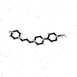 NN1CCC(N2CCN(CCCN3CCNCC3)CC2)CC1